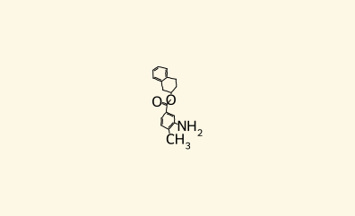 Cc1ccc(C(=O)OC2CCc3ccccc3C2)cc1N